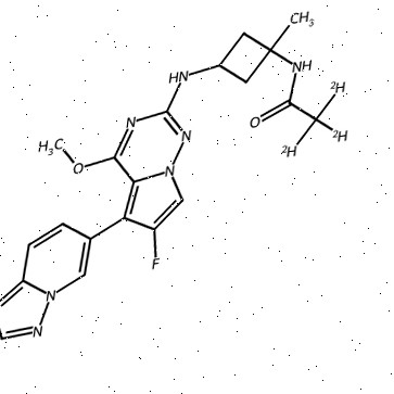 [2H]C([2H])([2H])C(=O)NC1(C)CC(Nc2nc(OC)c3c(-c4ccc5ncnn5c4)c(F)cn3n2)C1